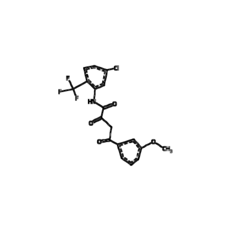 COc1cccc(C(=O)CC(=O)C(=O)Nc2cc(Cl)ccc2C(F)(F)F)c1